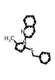 Cc1ccc(SCc2ccccc2)n1-c1ccc2ccccc2n1